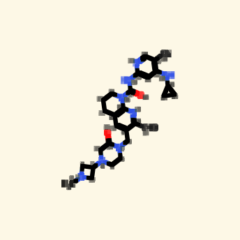 CN1CC(N2CCN(Cc3cc4c(nc3C=O)N(C(=O)Nc3cc(NC5CC5)c(C#N)cn3)CCC4)C(=O)C2)C1